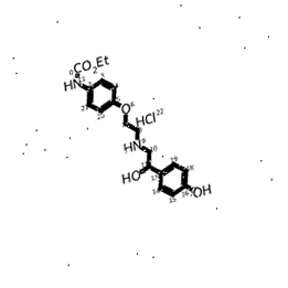 CCOC(=O)Nc1ccc(OCCNCC(O)c2ccc(O)cc2)cc1.Cl